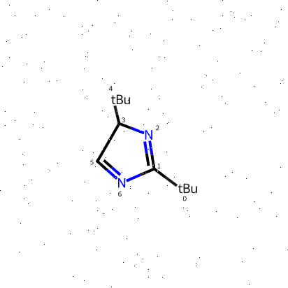 CC(C)(C)C1=NC(C(C)(C)C)C=N1